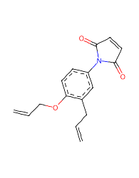 C=CCOc1ccc(N2C(=O)C=CC2=O)cc1CC=C